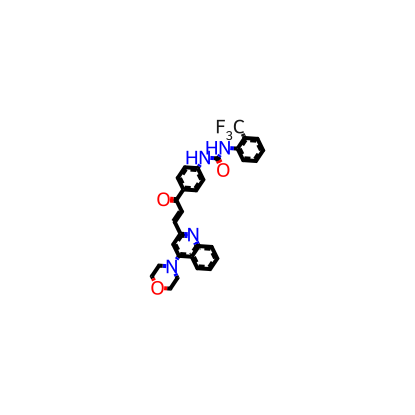 O=C(Nc1ccc(C(=O)C=Cc2cc(N3CCOCC3)c3ccccc3n2)cc1)Nc1ccccc1C(F)(F)F